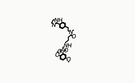 COc1ccc(OC)c(S(=O)(=O)CNCCCC(=O)N(C)CCc2ccc(C3=NCCN3)cc2)c1